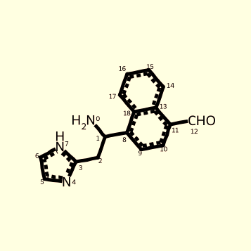 NC(Cc1ncc[nH]1)c1ccc(C=O)c2ccccc12